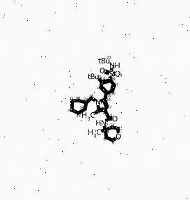 Cc1c(C(=O)NC2(C)CCOCC2)cc(-c2ccc(S(=O)(=O)NC(C)(C)C)c(C(C)(C)C)c2)n1CC1CCCCC1